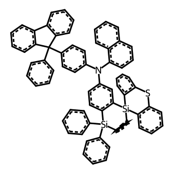 c1ccc(C2(c3ccc(N(c4ccc5c(c4)[Si]4(c6ccccc6Sc6ccccc64)c4ccccc4[Si]5(c4ccccc4)c4ccccc4)c4cccc5ccccc45)cc3)c3ccccc3-c3ccccc32)cc1